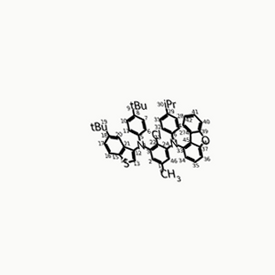 Cc1cc(N(c2ccc(C(C)(C)C)cc2)c2csc3ccc(C(C)(C)C)cc23)c(Cl)c(N(c2ccc(C(C)C)cc2)c2cccc3oc4ccccc4c23)c1